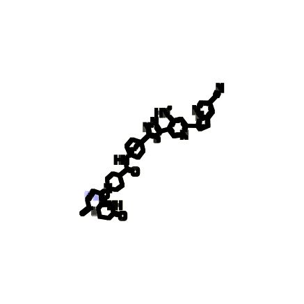 C=C(/C=C\C(=N/C)N1CCC(C(=O)NC23CCC(c4nnc(-c5cnc(-c6ccc7cc(C#N)cnn67)cc5NC)s4)(CC2)CC3)CC1)[C@H]1CCC(=O)NC1=O